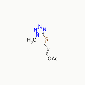 CC(=O)O/C=[C]/CSc1nnnn1C